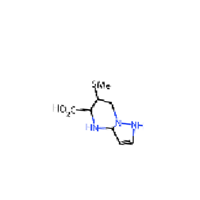 CSC1CN2NC=CC2NC1C(=O)O